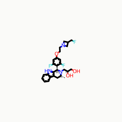 C[C@@H]1Cc2c([nH]c3ccccc23)[C@@H](c2c(F)cc(OCCN3CC(CF)C3)cc2F)N1C[C@H](O)CO